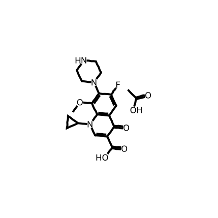 CC(=O)O.COc1c(N2CCNCC2)c(F)cc2c(=O)c(C(=O)O)cn(C3CC3)c12